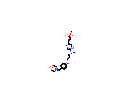 COC(=O)/C=C/c1cnc(NCCCOc2ccc(CN3CCOCC3)cc2)cn1